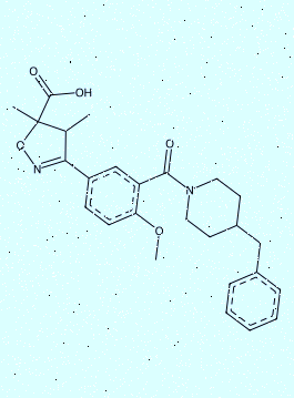 COc1ccc(C2=NOC(C)(C(=O)O)C2C)cc1C(=O)N1CCC(Cc2ccccc2)CC1